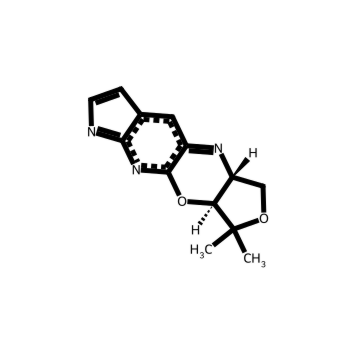 CC1(C)OC[C@H]2N=c3cc4c(nc3O[C@@H]21)=NC=C4